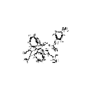 C[C@@H](O)[C@H]1C(=O)N(C(C(=O)O)=P(c2ccccc2)(c2ccccc2)c2ccccc2)[C@@H]1CC(=O)c1ccc(N)cc1